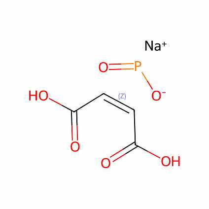 O=C(O)/C=C\C(=O)O.O=P[O-].[Na+]